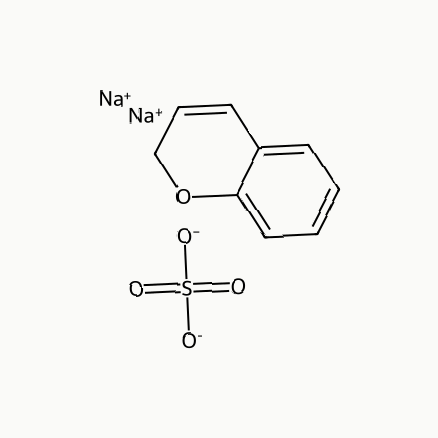 C1=Cc2ccccc2OC1.O=S(=O)([O-])[O-].[Na+].[Na+]